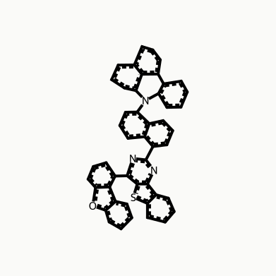 c1ccc2c(c1)-c1cccc3cccc(c13)N2c1cccc2c(-c3nc(-c4cccc5oc6ccccc6c45)c4sc5ccccc5c4n3)cccc12